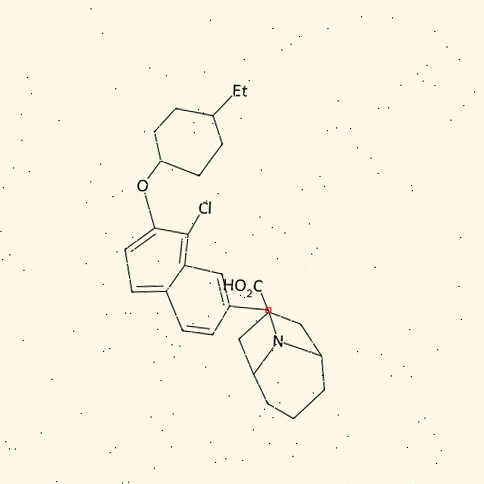 CCC1CCC(Oc2ccc3ccc(CN4C5CCCC4CC(C(=O)O)C5)cc3c2Cl)CC1